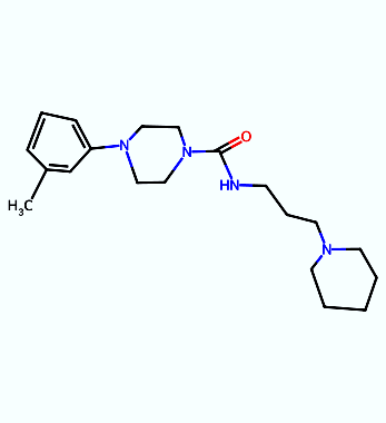 Cc1cccc(N2CCN(C(=O)NCCCN3CCCCC3)CC2)c1